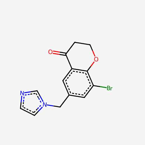 O=C1CCOc2c(Br)cc(Cn3ccnc3)cc21